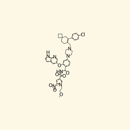 COCCn1cc(S(=O)(=O)NC(=O)c2ccc(N3CCN(CC4=C(c5ccc(Cl)cc5)CC5(CCC5)CC4)CC3)cc2Oc2cnc3[nH]ccc3c2)cc1[N+](=O)[O-]